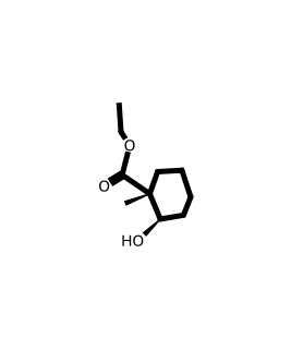 CCOC(=O)[C@]1(C)CCCC[C@H]1O